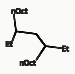 CCCCCCCCC(CC)CC(CC)CCCCCCCC